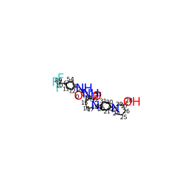 O=C(Nc1ccc(C(F)(F)F)cc1)N[C@H]1CCCN(c2ccc(N3CCCC(O)C3)cc2)C1=O